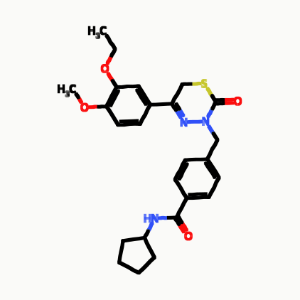 CCOc1cc(C2=NN(Cc3ccc(C(=O)NC4CCCC4)cc3)C(=O)SC2)ccc1OC